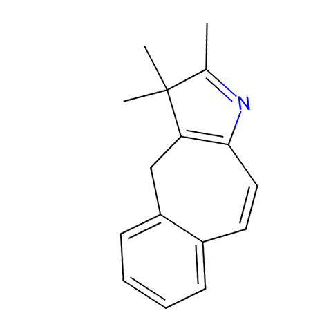 CC1=NC2=C(Cc3ccccc3C=C2)C1(C)C